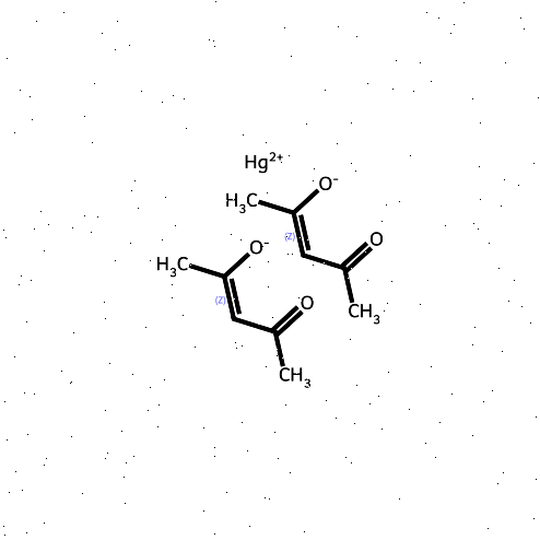 CC(=O)/C=C(/C)[O-].CC(=O)/C=C(/C)[O-].[Hg+2]